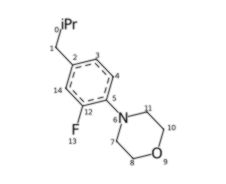 CC(C)Cc1ccc(N2CCOCC2)c(F)c1